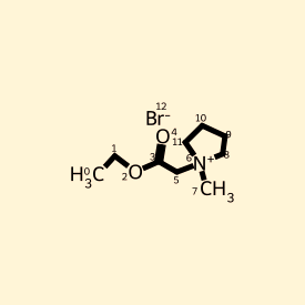 CCOC(=O)C[N+]1(C)CCCC1.[Br-]